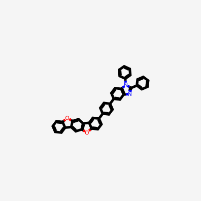 c1ccc(-c2nc3cc(-c4ccc(-c5ccc6oc7cc8c(cc7c6c5)oc5ccccc58)cc4)ccc3n2-c2ccccc2)cc1